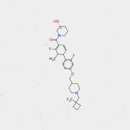 CC1C(F)=C(C(=O)N2CCC[C@@H](O)C2)C=CC1c1ccc(OCC2CCN(CC3(C(F)(F)F)CCC3)CC2)cc1F